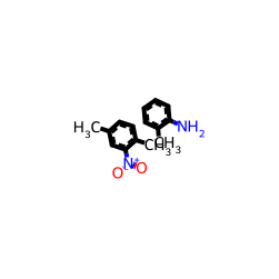 Cc1ccc(C)c([N+](=O)[O-])c1.Cc1ccccc1N